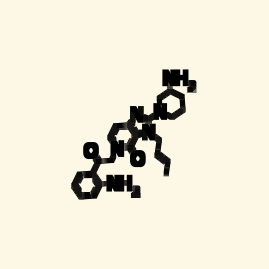 C/C=C/Cn1c(N2CCCC(N)C2)nc2ccn(CC(=O)c3ccccc3N)c(=O)c21